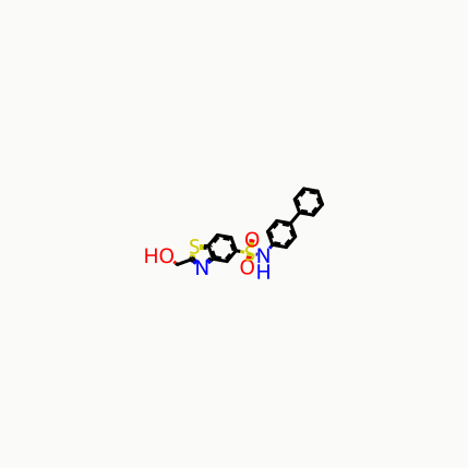 O=S(=O)(Nc1ccc(-c2ccccc2)cc1)c1ccc2sc(CO)nc2c1